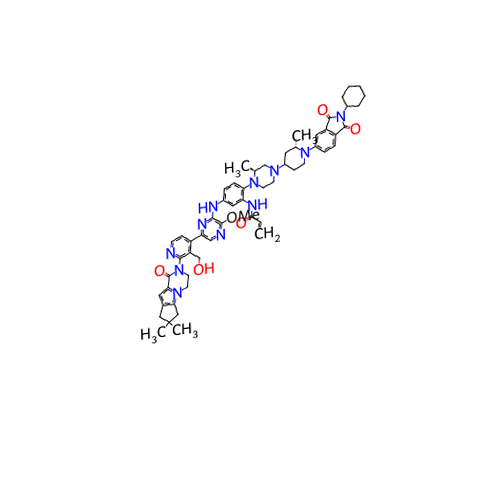 C=CC(=O)Nc1cc(Nc2nc(-c3ccnc(N4CCn5c(cc6c5CC(C)(C)C6)C4=O)c3CO)cnc2OC)ccc1N1CCN(C2CCN(c3ccc4c(c3)C(=O)N(C3CCCCC3)C4=O)[C@@H](C)C2)C[C@@H]1C